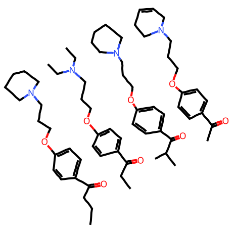 CC(=O)c1ccc(OCCCN2CC=CCC2)cc1.CC(C)C(=O)c1ccc(OCCCN2CCCCC2)cc1.CCC(=O)c1ccc(OCCCN(CC)CC)cc1.CCCC(=O)c1ccc(OCCCN2CCCCC2)cc1